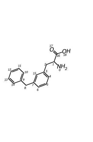 NC(Cc1cccc(Cc2ccccc2)c1)C(=O)O